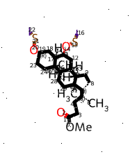 COC(=O)CC[C@@H](C)[C@H]1CC[C@H]2[C@@H]3C[C@H](OSI)[C@@H]4C[C@H](OSI)CC[C@]4(C)[C@H]3CC[C@]12C